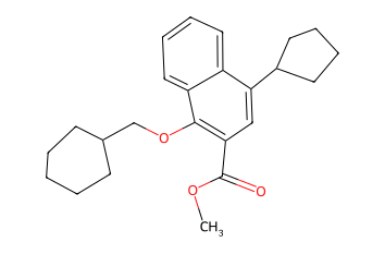 COC(=O)c1cc(C2CCCC2)c2ccccc2c1OCC1CCCCC1